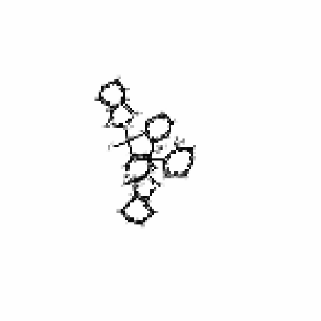 CCC(c1ccccc1O)(c1ccccc1C(CC)(c1ccccc1O)n1nc2ccccc2n1)n1nc2ccccc2n1